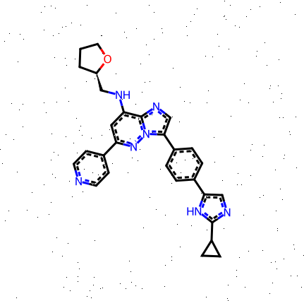 c1cc(-c2cc(NC[C@H]3CCCO3)c3ncc(-c4ccc(-c5cnc(C6CC6)[nH]5)cc4)n3n2)ccn1